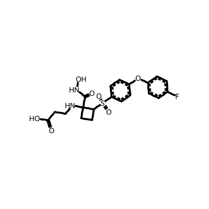 O=C(O)CCNC1(C(=O)NO)CCC1S(=O)(=O)c1ccc(Oc2ccc(F)cc2)cc1